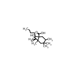 CCCCC(C)C1(C(=O)O)CC(C)C(C)(C)CC1(C)C(=O)O